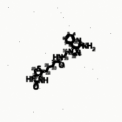 Nc1nc2ccccc2c2c1ncn2CCNC(=O)CCCCC1SCC2NC(=O)NC21